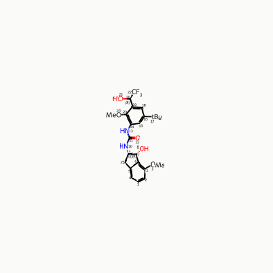 COc1cccc2c1[C@@H](O)[C@@H](NC(=O)Nc1cc(C(C)(C)C)cc([C@@H](O)C(F)(F)F)c1OC)C2